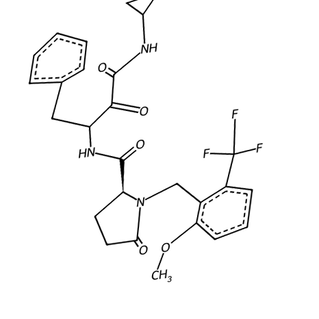 COc1cccc(C(F)(F)F)c1CN1C(=O)CC[C@H]1C(=O)NC(Cc1ccccc1)C(=O)C(=O)NC1CC1